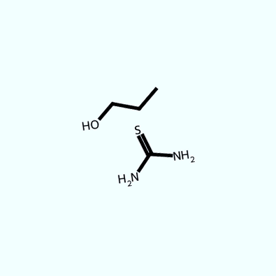 CCCO.NC(N)=S